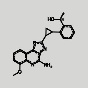 COc1cccc2c1nc(N)n1nc(C3CC3c3ccccc3[C@H](C)O)nc21